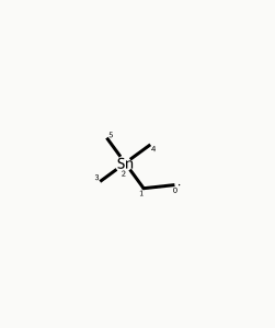 [CH2][CH2][Sn]([CH3])([CH3])[CH3]